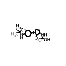 CC(C)(C)NC1CCC(N2CC[C@H](NC(=O)O)C2=O)CC1